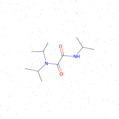 CC(C)NC(=O)C(=O)N(C(C)C)C(C)C